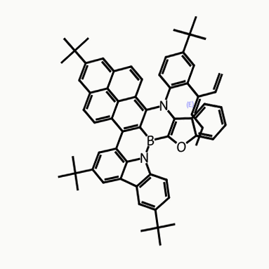 C=C/C(=C\CC)c1cc(C(C)(C)C)ccc1N1c2c(oc3ccccc23)B2c3c(c4ccc5cc(C(C)(C)C)cc6ccc(c31)c4c56)-c1cc(C(C)(C)C)cc3c4cc(C(C)(C)C)ccc4n2c13